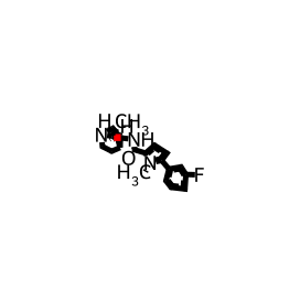 C[C@H]1[C@H](NC(=O)c2ccc(-c3cccc(F)c3)n2C)C2CCN1CC2